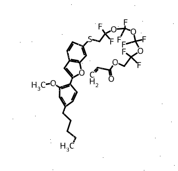 C=CC(=O)OCC(F)(F)OC(F)(F)OC(F)(F)OC(F)(F)CSc1ccc2cc(-c3ccc(CCCCC)cc3OC)oc2c1